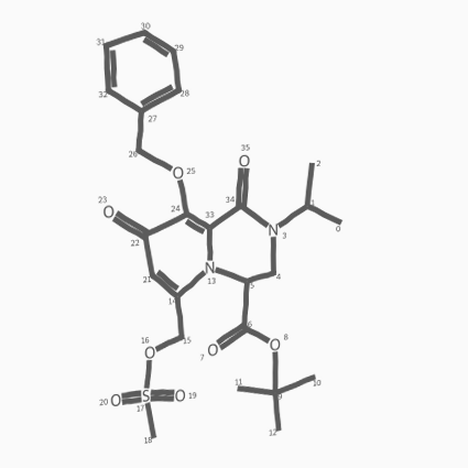 CC(C)N1CC(C(=O)OC(C)(C)C)n2c(COS(C)(=O)=O)cc(=O)c(OCc3ccccc3)c2C1=O